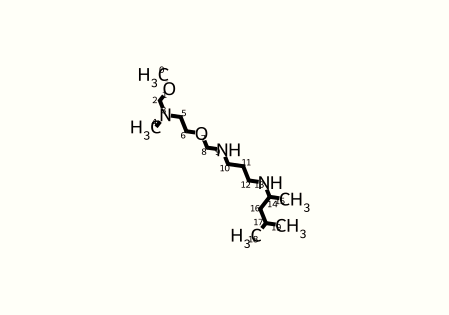 COCN(C)CCOCNCCCNC(C)CC(C)C